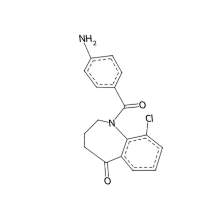 Nc1ccc(C(=O)N2CCCC(=O)c3cccc(Cl)c32)cc1